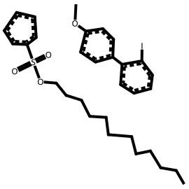 CCCCCCCCCCCCOS(=O)(=O)c1ccccc1.COc1ccc(-c2ccccc2I)cc1